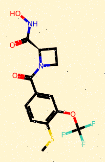 CSc1ccc(C(=O)N2CC[C@@H]2C(=O)NO)cc1OC(F)(F)F